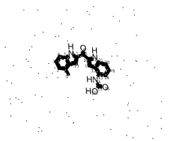 Cc1cccc2[nH]c(C(=O)c3cc4c(NC(=O)O)cccc4[nH]3)cc12